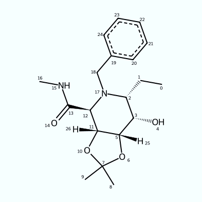 CC[C@@H]1[C@H](O)[C@@H]2OC(C)(C)O[C@@H]2[C@@H](C(=O)NC)N1Cc1ccccc1